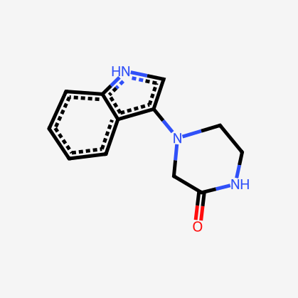 O=C1CN(c2c[nH]c3ccccc23)CCN1